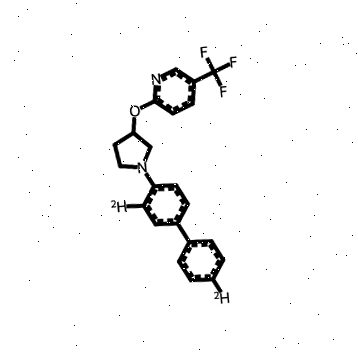 [2H]c1ccc(-c2ccc(N3CCC(Oc4ccc(C(F)(F)F)cn4)C3)c([2H])c2)cc1